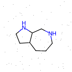 C1CNCC2NCCC2C1